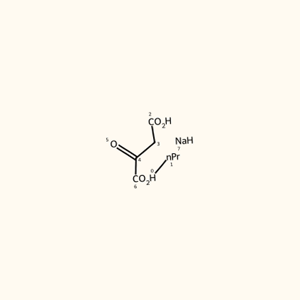 CCCC.O=C(O)CC(=O)C(=O)O.[NaH]